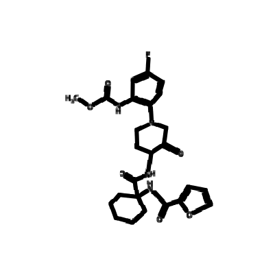 COC(=O)Nc1cc(F)ccc1N1CCC(NC(=O)C2(NC(=O)c3ccco3)CCCCC2)C(=O)C1